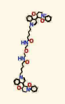 O=C(CCCCCN1C=CC2=C3c4oc5ccccc5[n+]4CCC3Oc3cccc1c32)NCCOCCNC(=O)CCCCCN1C=CC2=C3c4oc5ccccc5[n+]4CCC3Oc3cccc1c32